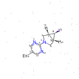 CCc1cnc(N2C[C@@H]3[C@@H](I)[C@@H]3C2)nc1